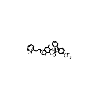 Cc1cc2c(c(C)c1NC(=O)c1cc(C(F)(F)F)ccc1-c1ccccc1)CCN2CCc1ccccn1